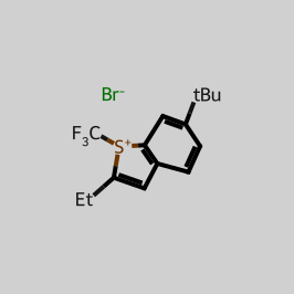 CCc1cc2ccc(C(C)(C)C)cc2[s+]1C(F)(F)F.[Br-]